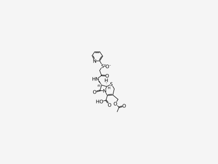 CC(=O)OCC1=C(C(=O)O)N2C(=O)[C@@H](NC(=O)C[S+]([O-])c3ccccn3)[C@H]2SC1